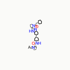 CC(=O)N1CCC[C@H]1C(=O)Nc1ccc(-c2ccc3nc([C@@H]4CCCN4C(=O)Cc4ccccc4)[nH]c3c2)cc1